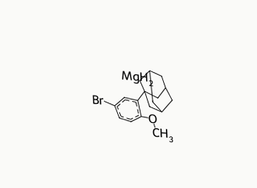 COc1ccc(Br)cc1C12CC3CC(CC(C3)C1)C2.[MgH2]